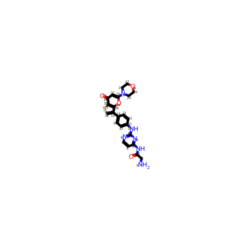 NCC(=O)Nc1ccnc(Nc2ccc(-c3csc4c(=O)cc(N5CCOCC5)oc34)cc2)n1